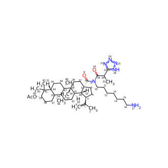 C=C(C)[C@@H]1CC[C@]2(C(=O)N(CCCCCCCN)C(=O)C(C)c3nnn[nH]3)CC[C@]3(C)[C@H](CCC4[C@@]5(C)CC[C@H](OC(C)=O)C(C)(C)[C@@H]5CC[C@]43C)[C@@H]12